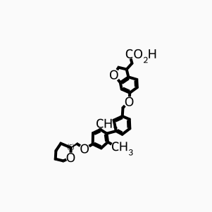 Cc1cc(OC[C@@H]2CCCCO2)cc(C)c1-c1cccc(COc2ccc3c(c2)OCC3CC(=O)O)c1